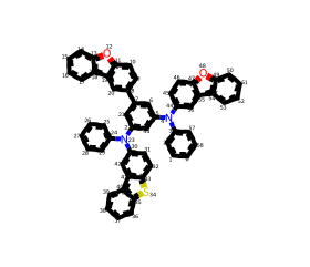 c1ccc(N(c2cc(-c3ccc4oc5ccccc5c4c3)cc(N(c3ccccc3)c3ccc4sc5ccccc5c4c3)c2)c2ccc3oc4ccccc4c3c2)cc1